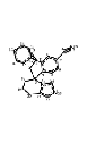 C=CCC1(c2ccc(C#N)cc2-c2ccccc2)CCCc2cncn21